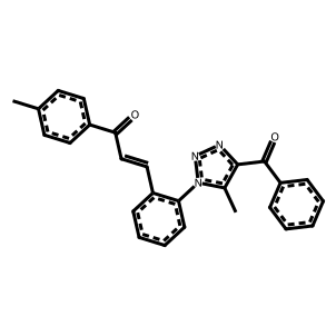 Cc1ccc(C(=O)/C=C/c2ccccc2-n2nnc(C(=O)c3ccccc3)c2C)cc1